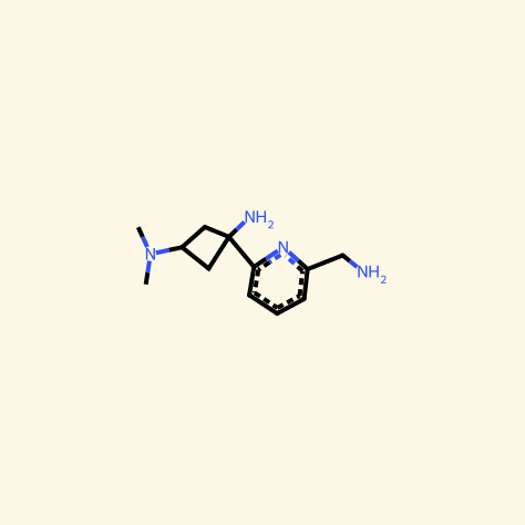 CN(C)C1CC(N)(c2cccc(CN)n2)C1